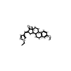 CCn1cc(/C=C2\CC3C4CCc5cc(OC)ccc5C4CCC3(C)C2=O)cn1